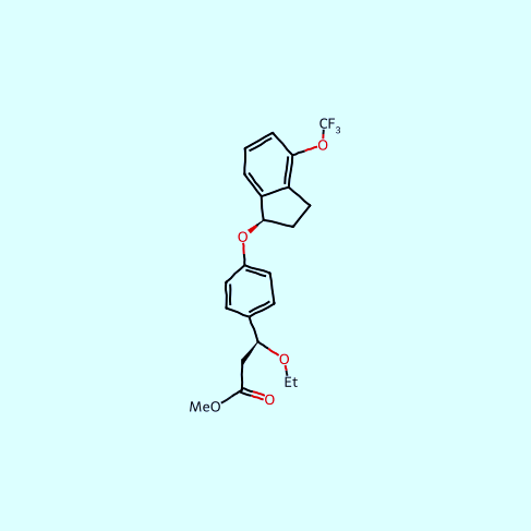 CCO[C@@H](CC(=O)OC)c1ccc(O[C@@H]2CCc3c(OC(F)(F)F)cccc32)cc1